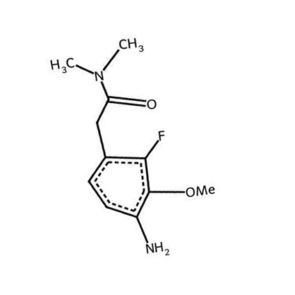 COc1c(N)ccc(CC(=O)N(C)C)c1F